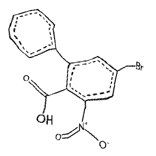 O=C(O)c1c(-c2ccccc2)cc(Br)cc1[N+](=O)[O-]